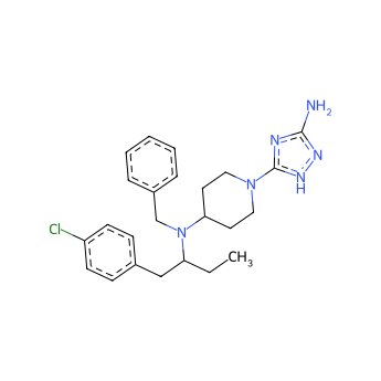 CCC(Cc1ccc(Cl)cc1)N(Cc1ccccc1)C1CCN(c2nc(N)n[nH]2)CC1